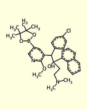 COc1ncc(B2OC(C)(C)C(C)(C)O2)cc1C(c1ccc(Cl)cc1)C(O)(CCN(C)C)c1cccc2ccccc12